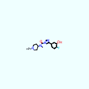 CCCN1CCC(N(C)C(=O)n2cnc(-c3ccc(F)c(O)c3)c2)CC1